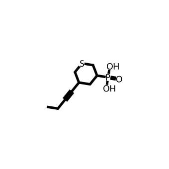 CCC#CC1CSCC(P(=O)(O)O)C1